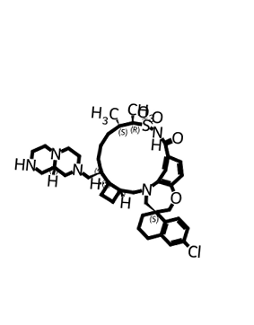 C[C@@H]1[C@@H](C)CCC[C@H](CN2CCN3CCNC[C@H]3C2)[C@@H]2CC[C@H]2CN2C[C@@]3(CCCc4cc(Cl)ccc43)COc3ccc(cc32)C(=O)NS1(=O)=O